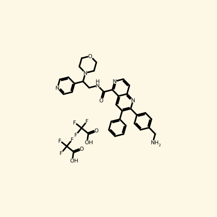 NCc1ccc(-c2nc3ccnc(C(=O)NCC(c4ccncc4)N4CCOCC4)c3cc2-c2ccccc2)cc1.O=C(O)C(F)(F)F.O=C(O)C(F)(F)F